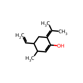 C=CC1CC(=C(C)C)C(O)=CC1C